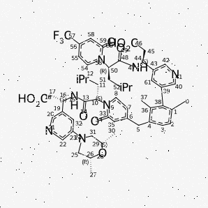 Cc1ccc(Cc2ccn([C@@H](CC(C)C)C(=O)N[C@@H](CC(=O)O)c3cncc(N4C[C@@H](C)O[C@@H](C)C4)c3)c(=O)c2)c(C)c1-c1cncc([C@H](CC(=O)O)NC(=O)[C@@H](CC(C)C)n2ccc(C(F)(F)F)cc2=O)c1